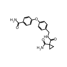 NC(=O)c1ccc(Oc2ccc(CNC(=O)C3(C(N)=O)CC3)cc2)cc1